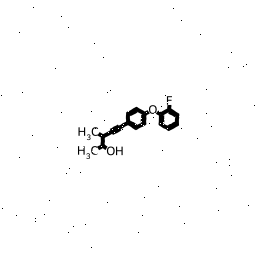 CC(O)C(C)C#Cc1ccc(Oc2ccccc2F)cc1